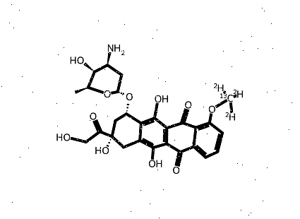 [2H][13C]([2H])([2H])Oc1cccc2c1C(=O)c1c(O)c3c(c(O)c1C2=O)C[C@@](O)(C(=O)CO)C[C@@H]3O[C@H]1C[C@H](N)[C@H](O)[C@H](C)O1